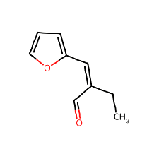 CCC(C=O)=Cc1ccco1